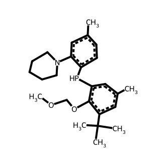 COCOc1c(Pc2ccc(C)cc2N2CCCCC2)cc(C)cc1C(C)(C)C